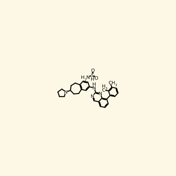 Cc1cccc(-c2cccc3cnc(Nc4ccc5c(c4)CCC(N4CCCC4)CC5)nc23)c1C.N[SH](=O)=O